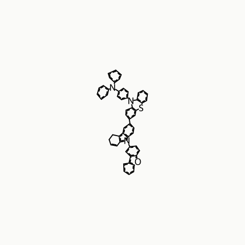 C1=Cc2c(c3cc(-c4ccc5c(c4)Sc4ccccc4N5c4ccc(N(c5ccccc5)c5ccccc5)cc4)ccc3n2-c2ccc3oc4ccccc4c3c2)CC1